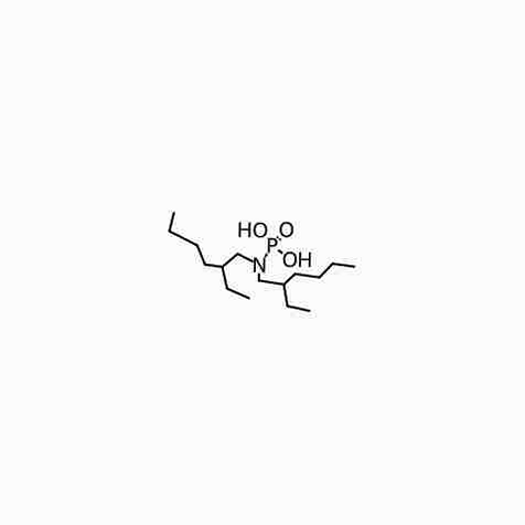 CCCCC(CC)CN(CC(CC)CCCC)P(=O)(O)O